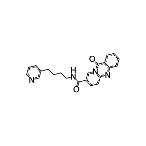 O=C(NCCCCc1cccnc1)c1ccc2nc3ccccc3c(=O)n2c1